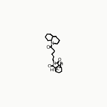 CC1CCC2CCC1[C@@H]1C(=O)N(CCCCC(=O)N3CCCC4CCCCC43)C(=O)[C@H]21